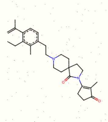 C=C(C)c1ccc(CCN2CCC3(CC2)CCN(C2=C(C)C(=O)CC2)C3=O)c(C)c1CC